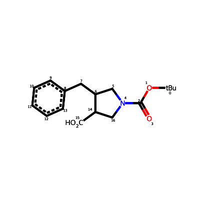 CC(C)(C)OC(=O)N1CC(Cc2ccccc2)C(C(=O)O)C1